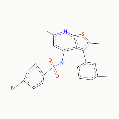 Cc1cccc(-c2c(C)sc3nc(C)cc(NS(=O)(=O)c4ccc(Br)cc4)c23)c1